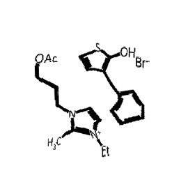 CC[n+]1ccn(CCCOC(C)=O)c1C.Oc1sccc1-c1ccccc1.[Br-]